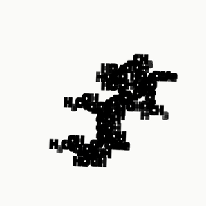 COCC1OC(COCC(C)O)C(COCC2CC(COC3OC(COCC(C)O)C(O)C(O)C3O)C(COCC3OC(COCC(C)O)C(COCC4CC(COC5OC(COCC(C)O)C(O)C(O)C5O)C(OC)C(O)C4O)C(O)C3O)C(O)C2O)C(O)C1O